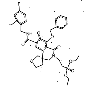 CCOP(=O)(CCN1CC2(CCOC2)n2cc(C(=O)NCc3ccc(F)cc3F)c(=O)c(OCc3ccccc3)c2C1=O)OCC